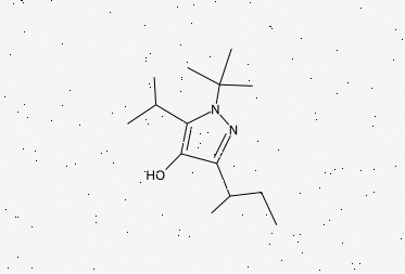 CCC(C)c1nn(C(C)(C)C)c(C(C)C)c1O